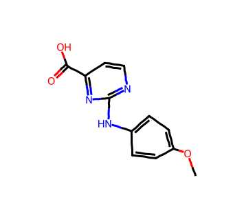 COc1ccc(Nc2nccc(C(=O)O)n2)cc1